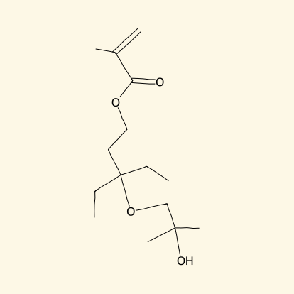 C=C(C)C(=O)OCCC(CC)(CC)OCC(C)(C)O